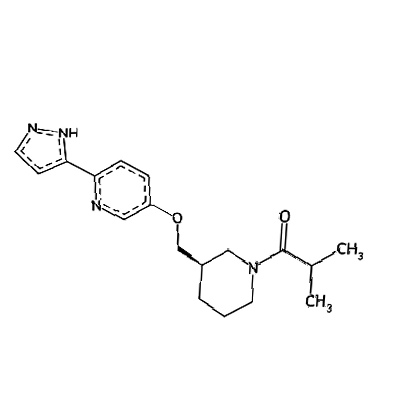 CC(C)C(=O)N1CCC[C@@H](COc2ccc(-c3ccn[nH]3)nc2)C1